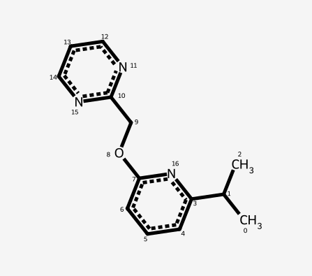 CC(C)c1cccc(OCc2ncccn2)n1